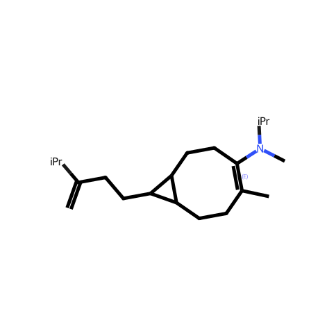 C=C(CCC1C2CC/C(C)=C(/N(C)C(C)C)CCC12)C(C)C